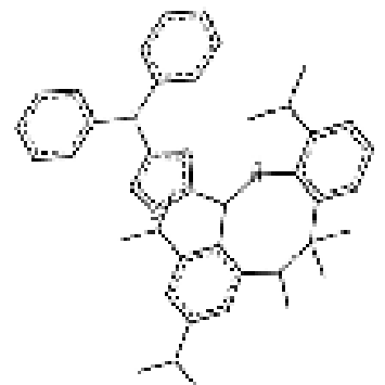 CC(C)c1cc(C(C)C)c2c(c1)C(C)C(C)(C)c1cccc(C(C)C)c1NC2c1nc(P(c2ccccc2)c2ccccc2)cs1